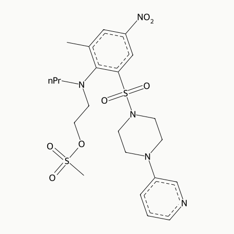 CCCN(CCOS(C)(=O)=O)c1c(C)cc([N+](=O)[O-])cc1S(=O)(=O)N1CCN(c2cccnc2)CC1